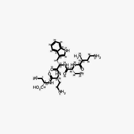 CC(C)C[C@H](NC(=O)[C@H](CCN)NC(=O)[C@H](Cc1c[nH]c2ccccc12)NC(=O)[C@@H](CC(C)C)NC(=O)[C@@H](N)CCN)C(=O)O